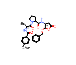 COc1ccc(C(=O)N[C@H](C(=O)N2CCCC2C(=O)N[C@H]2CC(=O)OC2OCc2ccccc2)C(C)(C)C)cc1